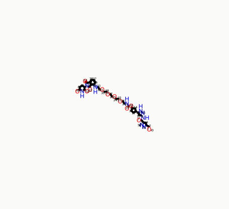 COCc1cc(C(=O)Nc2cc([C@H]3CC[C@@H](OC(=O)NCCOCCOCCOCCOCCNc4cccc5c4C(=O)N(C4CCC(=O)NC4=O)C5=O)C3)[nH]n2)n(C)n1